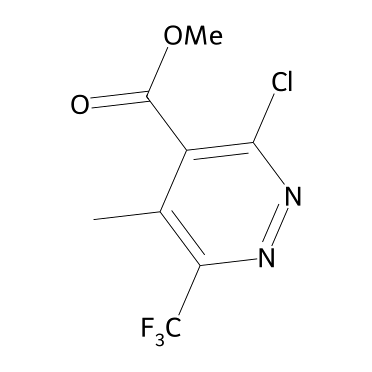 COC(=O)c1c(Cl)nnc(C(F)(F)F)c1C